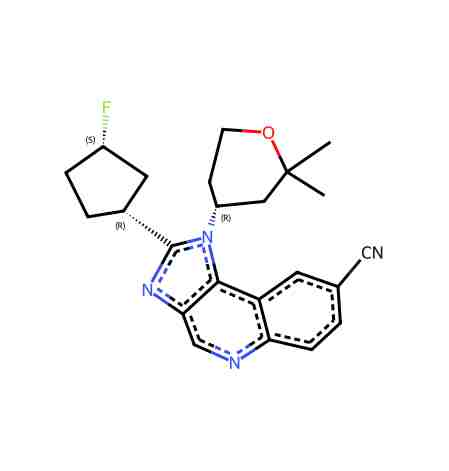 CC1(C)C[C@H](n2c([C@@H]3CC[C@H](F)C3)nc3cnc4ccc(C#N)cc4c32)CCO1